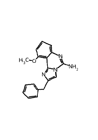 COc1cccc2nc(N)n3cc(Cc4ccccc4)nc3c12